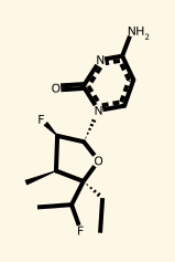 CC[C@@]1(C(C)F)O[C@@H](n2ccc(N)nc2=O)[C@H](F)[C@@H]1C